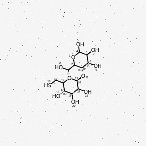 OCC1OC(O)C(O)[C@@H](O)[C@@H]1O[C@@H]1OC(CS)[C@@H](O)C(O)C1O